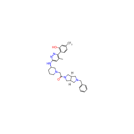 Cc1cc(N[C@@H]2CCCN(CC(=O)N3C[C@H]4CN(Cc5ccccc5)C[C@H]4C3)C2)nnc1-c1ccc(C(F)(F)F)cc1O